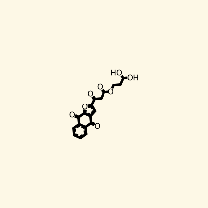 O=C(CC(=O)c1cc2c(o1)C(=O)c1ccccc1C2=O)OCCC(O)O